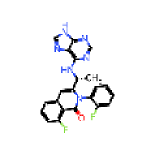 C[C@@H](Nc1ncnc2[nH]cnc12)c1cc2cccc(F)c2c(=O)n1-c1ccccc1F